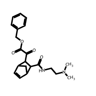 CN(C)CCNC(=O)C1C2C=CC(C2)C1C(=O)C(=O)OCc1ccccc1